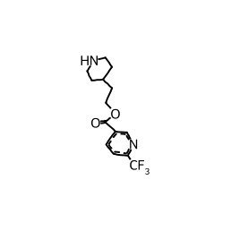 O=C(OCCC1CCNCC1)c1ccc(C(F)(F)F)nc1